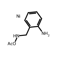 CC(=O)ONCc1ccccc1N.[Ni]